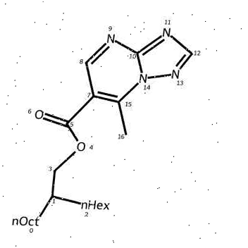 CCCCCCCCC(CCCCCC)COC(=O)c1cnc2ncnn2c1C